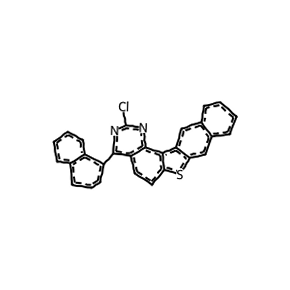 Clc1nc(-c2cccc3ccccc23)c2ccc3sc4cc5ccccc5cc4c3c2n1